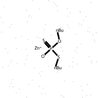 CCCCOP([O-])(=S)SCCCC.[Zn+]